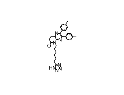 Cc1ccc(-c2nc3c(nc2-c2ccc(C)cc2)N(CCCCCCc2nnn[nH]2)C(=O)CC3)cc1